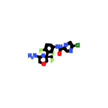 NC1=N[C@@](c2cc(NC(=O)c3cnc(Cl)cn3)ccc2F)(C(F)F)COC1